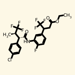 CCOC(=O)CC(c1ccc(F)c(NC(=O)[C@H](c2ccc(Cl)cc2)[C@@H](C)C(F)(F)F)c1)C(F)(F)F